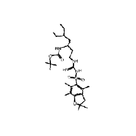 CCC(CC)CC(CCNC(=N)NS(=O)(=O)c1c(C)c(C)c2c(c1C)CC(C)(C)O2)NC(=O)OC(C)(C)C